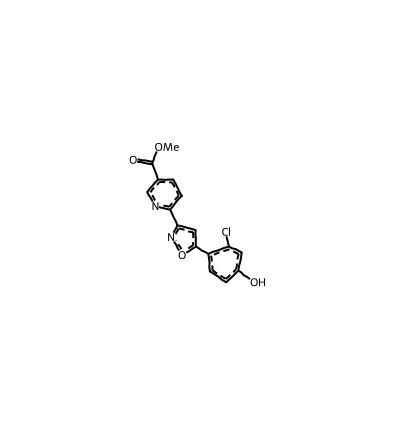 COC(=O)c1ccc(-c2cc(-c3ccc(O)cc3Cl)on2)nc1